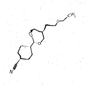 CCOCC[C@H]1CO[C@H]([C@H]2CC[C@H](C#N)CC2)OC1